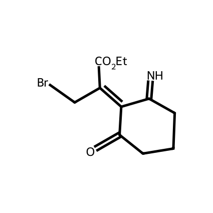 CCOC(=O)C(CBr)=C1C(=N)CCCC1=O